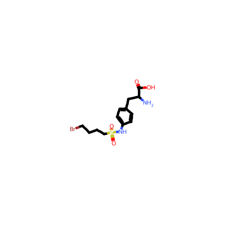 NC(Cc1ccc(NS(=O)(=O)CCCCBr)cc1)C(=O)O